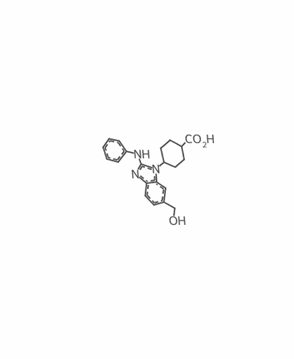 O=C(O)C1CCC(n2c(Nc3ccccc3)nc3ccc(CO)cc32)CC1